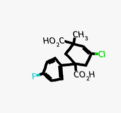 CC1(C(=O)O)C=C(Cl)CC(C(=O)O)(c2ccc(F)cc2)C1